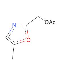 CC(=O)OCc1ncc(C)o1